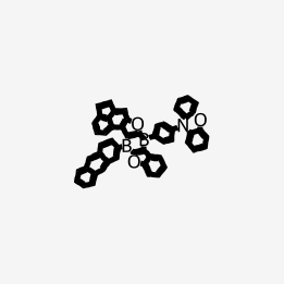 C1=Cc2cc3oc4c(c3c3cccc1c23)B(c1ccc2cc3ccccc3cc2c1)c1oc2ccccc2c1B4c1ccc(N2c3ccccc3Oc3ccccc32)cc1